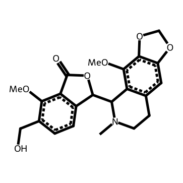 COc1c(CO)ccc2c1C(=O)OC2C1c2c(cc3c(c2OC)OCO3)CCN1C